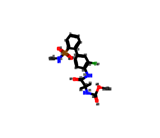 CC(C)(C)NS(=O)(=O)c1ccccc1-c1ccc(NC(=O)C(C)(C)NC(=O)OC(C)(C)C)c(F)c1